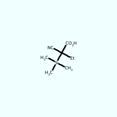 CCC(C#N)(C(=O)O)[Si](C)(C)C